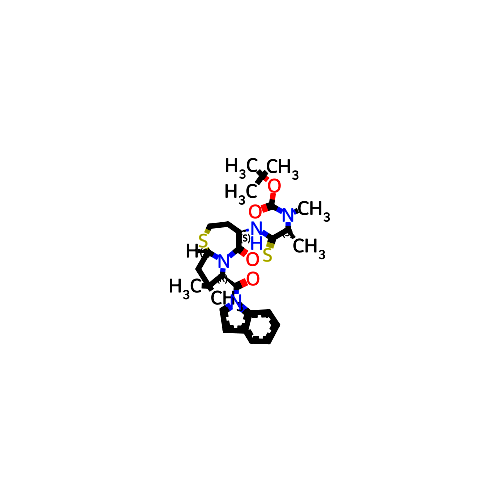 C[C@@H](C(=S)N[C@H]1CCS[C@H]2CC(C)(C)[C@H](C(=O)n3ccc4ccccc43)N2C1=O)N(C)C(=O)OC(C)(C)C